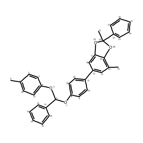 Cc1ccc(OC(Oc2ccc(-c3cc(C)c4c(c3)OC(C)(c3ccccc3)O4)cc2)c2ccccc2)cc1